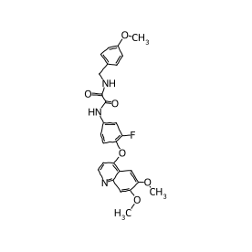 COc1ccc(CNC(=O)C(=O)Nc2ccc(Oc3ccnc4cc(OC)c(OC)cc34)c(F)c2)cc1